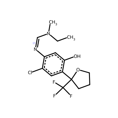 CCN(C)/C=N\c1cc(O)c(C2(C(F)(F)F)CCCO2)cc1Cl